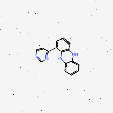 c1ccc2c(c1)Nc1cccc(-c3ccncn3)c1N2